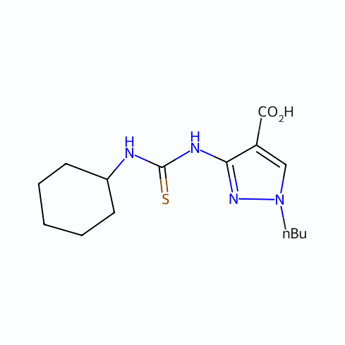 CCCCn1cc(C(=O)O)c(NC(=S)NC2CCCCC2)n1